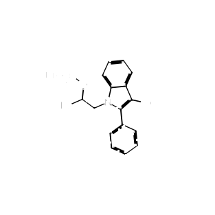 CCOC(=O)OC(CC)Cn1c(-c2ccccc2)c(S(=O)(=O)O)c2ccccc21